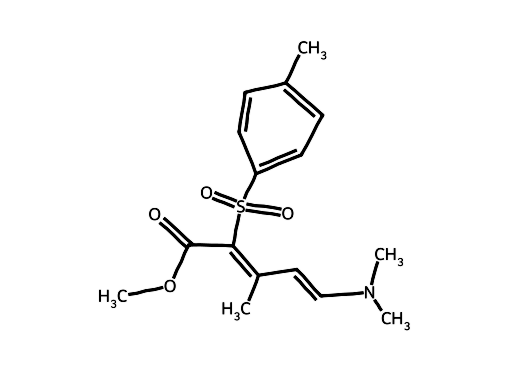 COC(=O)/C(=C(C)/C=C/N(C)C)S(=O)(=O)c1ccc(C)cc1